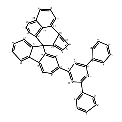 c1ccc(-c2nc(-c3ccccc3)nc(-c3ccc4c(c3)C3(c5ccccc5-4)c4ccccc4-c4cccc5cccc3c45)n2)cc1